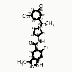 Cc1n[nH]c2cc(F)c(C(=O)N[C@@H]3CCN([C@@H](C)c4cc(Cl)cc(Cl)c4)C3)cc12